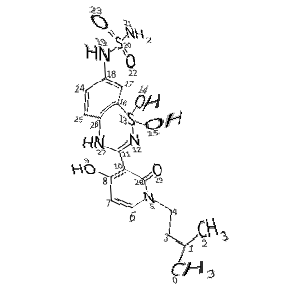 CC(C)CCn1ccc(O)c(C2=NS(O)(O)c3cc(NS(N)(=O)=O)ccc3N2)c1=O